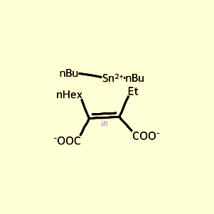 CCCCCC/C(C(=O)[O-])=C(\CC)C(=O)[O-].CCC[CH2][Sn+2][CH2]CCC